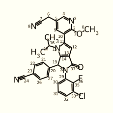 COc1ncc(CC#N)cc1-c1cc2c(n1C(C)C)C(c1ccc(C#N)cc1)N(c1cccc(Cl)c1F)C2=O